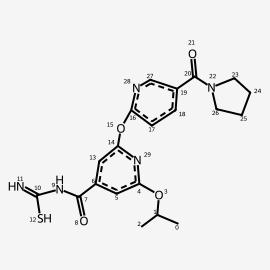 CC(C)Oc1cc(C(=O)NC(=N)S)cc(Oc2ccc(C(=O)N3CCCC3)cn2)n1